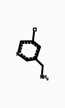 NCc1cncc(Cl)c1